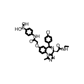 CCNC(=O)C[C@@H]1N=C(c2ccc(Cl)cc2)c2cc(OCC(=O)Nc3ccc(B(O)O)cc3)ccc2-n2c(C)nnc21